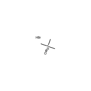 Br.C[SH](C)(C)=O